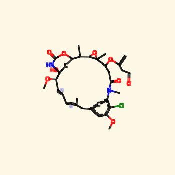 C=C(CC=O)OC1CC(=O)N(C)c2cc(cc(OC)c2Cl)C/C(C)=C/C=C/C(OC)C2(O)CC(OC(=O)N2)C(C)C2OC12C